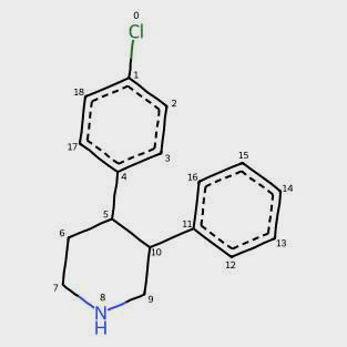 Clc1ccc(C2CCNCC2c2ccccc2)cc1